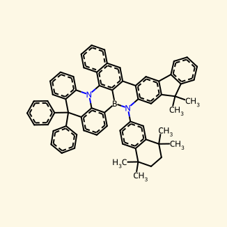 CC1(C)CCC(C)(C)c2cc(N3B4c5cccc6c5N(c5ccccc5C6(c5ccccc5)c5ccccc5)c5c4c(cc4ccccc54)-c4cc5c(cc43)C(C)(C)c3ccccc3-5)ccc21